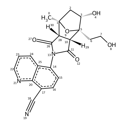 C[C@]12C[C@H](O)[C@](CCO)(O1)[C@@H]1C(=O)N(c3ccc(C#N)c4ncccc34)C(=O)[C@@H]12